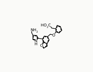 NCc1c[nH]c(-c2cc(COc3ccccc3CC(=O)O)cc3ccoc23)c1